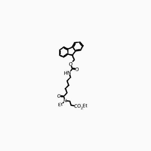 CCOC(=O)CCN(CC)C(=O)CCCCCNC(=O)OCC1c2ccccc2-c2ccccc21